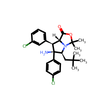 CC(C)(C)C[C@@H]1N2[C@@H](C(=O)OC2(C)C)[C@H](c2cccc(Cl)c2)[C@@]1(N)c1ccc(Cl)cc1